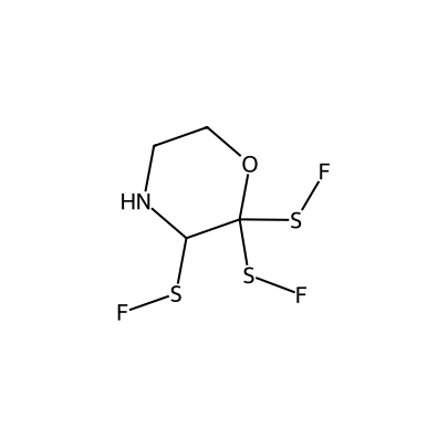 FSC1NCCOC1(SF)SF